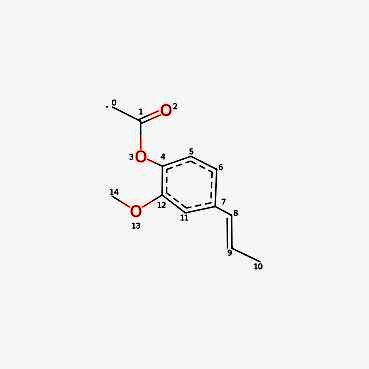 [CH2]C(=O)Oc1ccc(/C=C/C)cc1OC